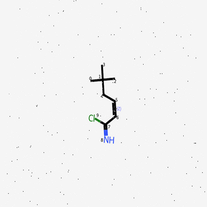 CC(C)(C)C/C=C\C(=N)Cl